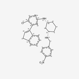 O=[N+]([O-])c1ccc(CN[C@H]2CCC[C@@H](Nc3ncc(Cl)c(C4=CCc5ccccc54)n3)C2)cc1